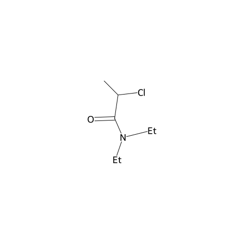 CCN(CC)C(=O)C(C)Cl